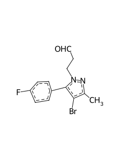 Cc1nn(CCC=O)c(-c2ccc(F)cc2)c1Br